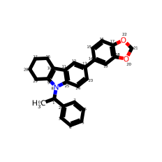 CC(c1ccccc1)n1c2c(c3cc(-c4ccc5c(c4)OCO5)ccc31)CCCC2